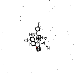 N#Cc1cnc2c(Cl)cc(NC(c3ccc(F)cc3)c3cn(C4CC4)nn3)cc2c1NC(c1ccccc1)C1C[C@H]1C#N